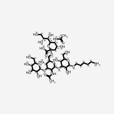 CC(=O)NC1C(O[C@@H]2OC(CO)[C@H](O)C(O)[C@@H]2O)[C@H](O)C(CO[C@]2(C(=O)O)C[C@@H](O)[C@@H](NC(C)=O)C([C@H](O)[C@H](O)CO)O2)O[C@H]1OC1C(O)[C@H](OCCCCCN)OC(CO)[C@@H]1O